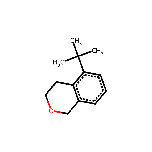 CC(C)(C)c1cccc2c1CCOC2